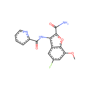 COc1cc(F)cc2c(NC(=O)c3ccccn3)c(C(N)=O)oc12